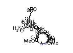 COc1cc2cc(c1Cl)N(C)C(=O)C[C@H](OC(=O)Nc1cc(F)c(NC(=O)[C@H](CCCNC(N)=O)NC(=O)[C@@H](NC(=O)CCCCCN3C(=O)C=CC3=O)C(C)C)cc1F)[C@]1(C)O[C@H]1[C@H](C)[C@@H]1C[C@@](O)(NC(=O)O1)[C@H](OC)/C=C/C=C(\C)C2